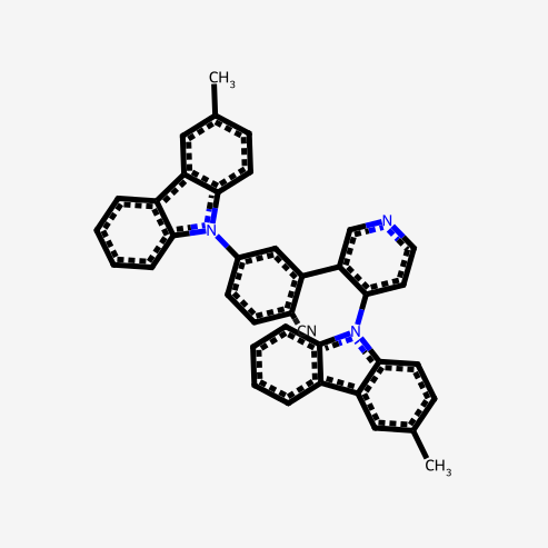 Cc1ccc2c(c1)c1ccccc1n2-c1ccc(C#N)c(-c2cnccc2-n2c3ccccc3c3cc(C)ccc32)c1